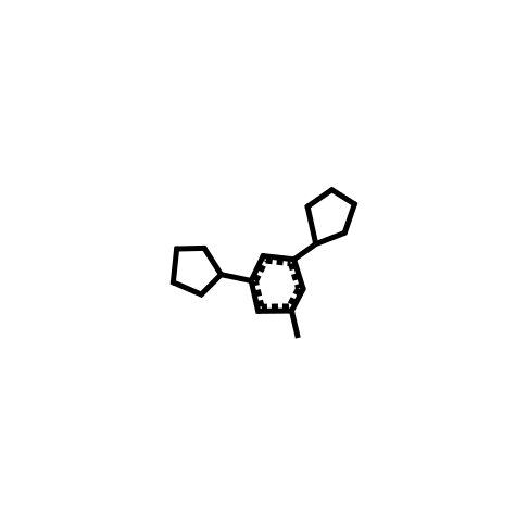 Cc1cc(C2CCCC2)cc(C2CCCC2)c1